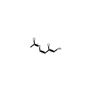 CCC/C=C(Cl)/C=C\N=C(/C)Cl